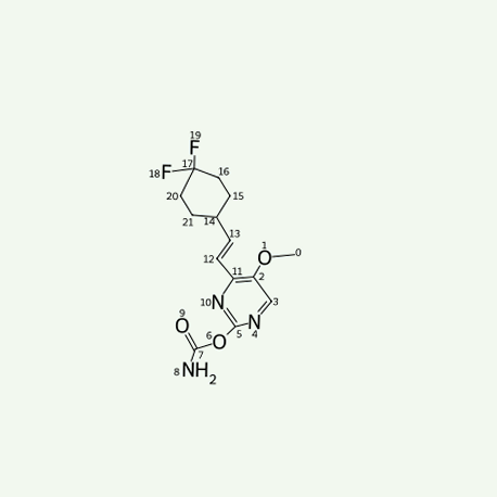 COc1cnc(OC(N)=O)nc1C=CC1CCC(F)(F)CC1